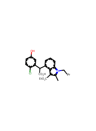 CCOC(=O)c1c(C)n(CC(C)C)c2cccc(C(C(=O)O)c3cc(O)ccc3Cl)c12